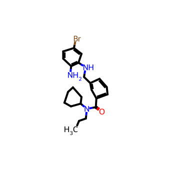 CCCN(C(=O)c1cccc(CNc2cc(Br)ccc2N)c1)C1CCCCC1